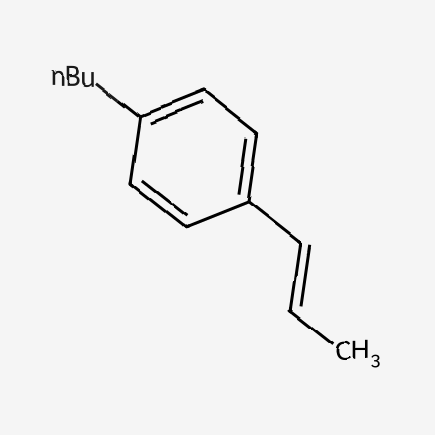 CC=Cc1ccc(CCCC)cc1